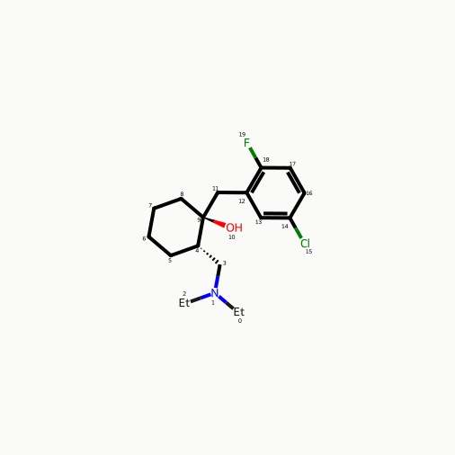 CCN(CC)C[C@@H]1CCCC[C@]1(O)Cc1cc(Cl)ccc1F